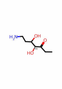 CCC(=O)[C@@H](O)C(O)CCN